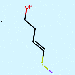 OCCC=CSI